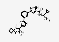 CC(NC(=O)c1cc(-c2cccc(-c3ncc(C(=O)NC4(C(=O)O)CCC4)o3)c2)n[nH]1)C1CC1